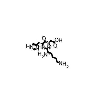 NCCCC[C@H](N)C(=O)N[C@@H](Cc1c[nH]cn1)C(=O)NCC(=O)O